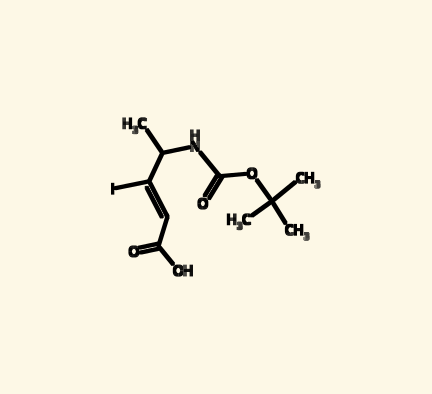 CC(NC(=O)OC(C)(C)C)C(I)=CC(=O)O